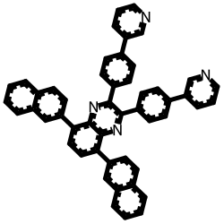 c1cncc(-c2ccc(-c3nc4c(-c5ccc6ccccc6c5)ccc(-c5ccc6ccccc6c5)c4nc3-c3ccc(-c4cccnc4)cc3)cc2)c1